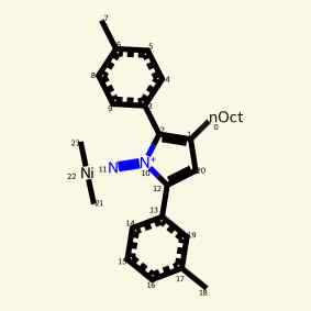 CCCCCCCCC1=C(c2ccc(C)cc2)[N+](=[N-])C(c2cccc(C)c2)=C1.[CH3][Ni][CH3]